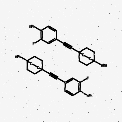 CCCCC12CCC(C#Cc3ccc(CCC)c(F)c3)(CC1)CC2.CCCc1ccc(C#CC23CCC(CCC)(CC2)CC3)cc1F